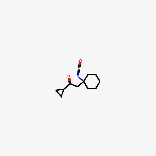 O=C=NC1(CC(=O)C2CC2)CCCCC1